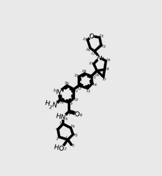 CC1(O)CCC(NC(=O)c2cc(-c3ccc(C45CC4CN(C4CCOCC4)C5)cc3)cnc2N)CC1